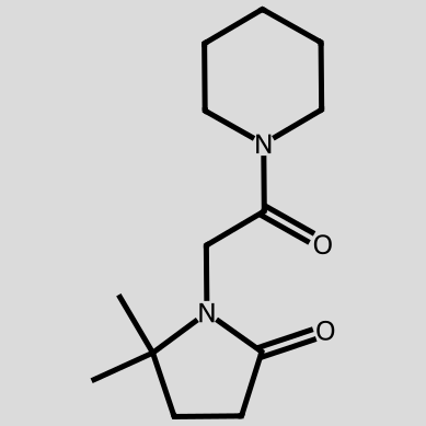 CC1(C)CCC(=O)N1CC(=O)N1CCCCC1